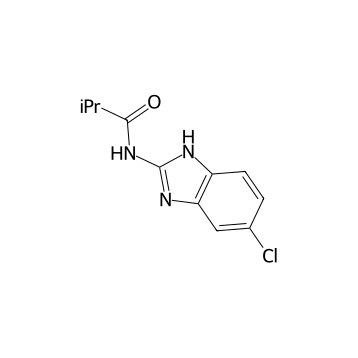 CC(C)C(=O)Nc1nc2cc(Cl)ccc2[nH]1